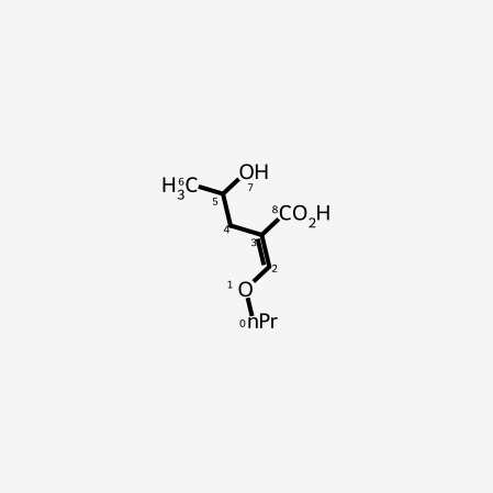 CCCOC=C(CC(C)O)C(=O)O